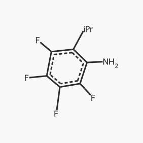 CC(C)c1c(N)c(F)c(F)c(F)c1F